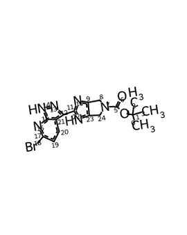 CC(C)(C)OC(=O)N1Cc2nc(-c3n[nH]c4nc(Br)ccc34)[nH]c2C1